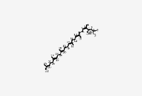 CCCC([SiH3])C(C)=CCC/C(C)=C/CC/C(C)=C/CC/C=C(\C)CC/C=C(\C)CCC=C(C)C